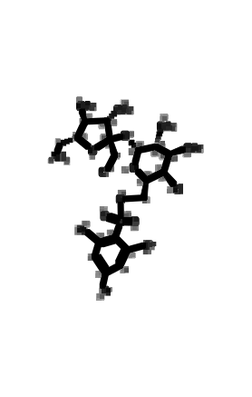 CC(=O)O[C@@H]1[C@@H](CN)O[C@@](CCl)(O[C@H]2O[C@H](COS(=O)(=O)c3c(C(C)C)cc(C(C)C)cc3C(C)C)[C@H](Cl)[C@H](OC(C)=O)[C@H]2OC(C)=O)[C@H]1OC(C)=O